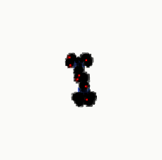 c1ccc2c(-c3cc(-c4cccc5ccccc45)nc(-c4ccc(-c5cccc6c(-c7ccc(-c8nc(-c9cccc%10ccccc9%10)cc(-c9cccc%10ccccc9%10)n8)cc7)cccc56)cc4)n3)cccc2c1